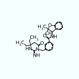 CCC1(CC)CC(=O)N(Cc2cccc(C(=O)NC3c4ccccc4OC3(C)C)c2)C(=N)N1